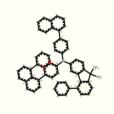 CC1(C)c2ccc(N(c3ccc(-c4cccc5ccccc45)cc3)c3ccc(-c4cccc5cccc(-c6ccccc6)c45)cc3)cc2-c2c(-c3ccccc3)cccc21